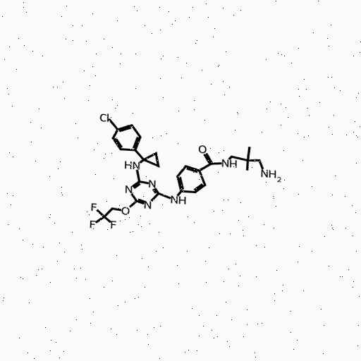 CC(C)(CN)CNC(=O)c1ccc(Nc2nc(NC3(c4ccc(Cl)cc4)CC3)nc(OCC(F)(F)F)n2)cc1